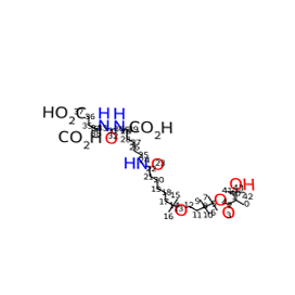 CC(C(=O)OC(C)(C)C(C)(C)CCOC(C)(C)CCCCCC(=O)NCCCC[C@H](NC(=O)N[C@@H](CCC(=O)O)C(=O)O)C(=O)O)C(C)(C)O